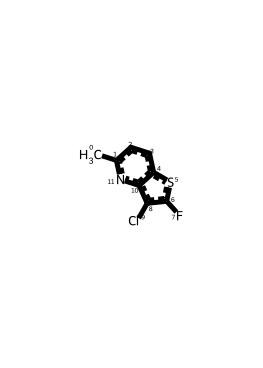 Cc1ccc2sc(F)c(Cl)c2n1